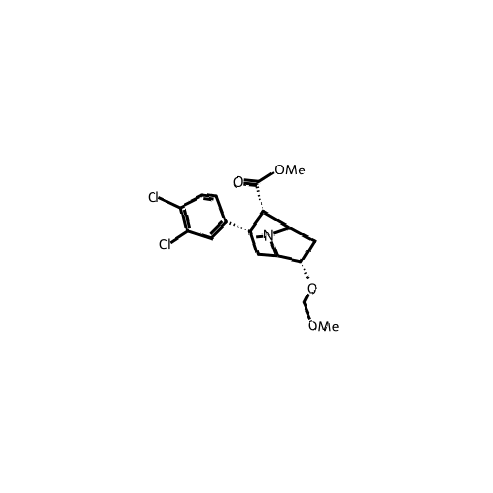 COCO[C@H]1CC2[C@@H](C(=O)OC)[C@@H](c3ccc(Cl)c(Cl)c3)CC1N2C